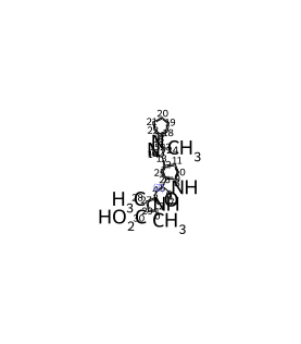 Cc1[nH]c(/C=C2\C(=O)Nc3ccc(-c4cnn(-c5ccccc5)c4C)cc32)c(C)c1C(=O)O